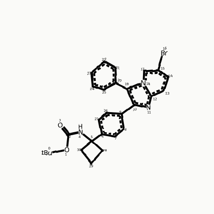 CC(C)(C)OC(=O)NC1(c2ccc(-c3nc4ccc(Br)cn4c3-c3ccccc3)cc2)CCC1